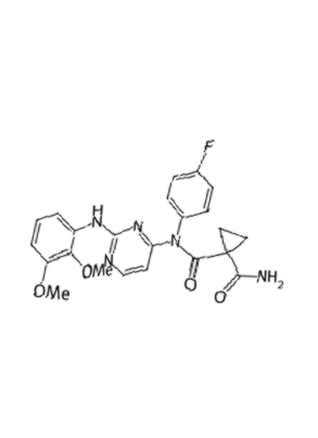 COc1cccc(Nc2nccc(N(C(=O)C3(C(N)=O)CC3)c3ccc(F)cc3)n2)c1OC